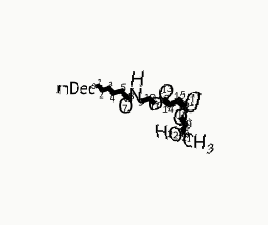 CCCCCCCCCCCCCCCC(=O)NCCOC(=O)CCC(=O)OCC(C)O